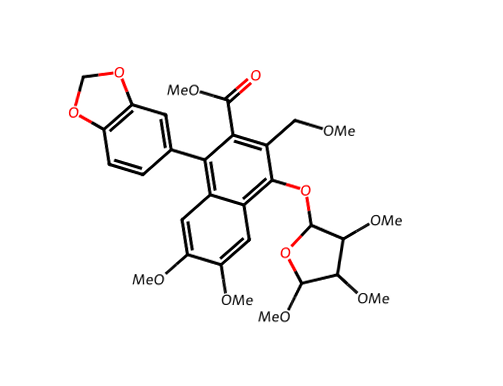 COCc1c(C(=O)OC)c(-c2ccc3c(c2)OCO3)c2cc(OC)c(OC)cc2c1OC1OC(OC)C(OC)C1OC